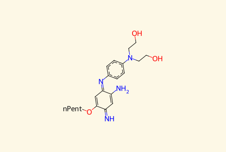 CCCCCOC1=C/C(=N/c2ccc(N(CCO)CCO)cc2)C(N)=CC1=N